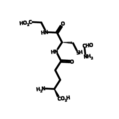 NC=O.N[C@@H](CCC(=O)N[C@@H](CS)C(=O)NCC(=O)O)C(=O)O